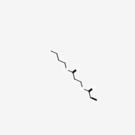 C=CC(=O)OCCC(=O)NCCCC